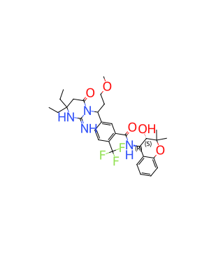 CCC1(CC)CC(=O)N(C(CCOC)c2ccc(C(F)(F)F)c(C(=O)N[C@@H]3c4ccccc4OC(C)(C)[C@H]3O)c2)C(=N)N1